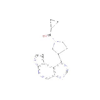 O=C(C1CC1)N1CCC(c2ncnc3cnc4[nH]ccc4c23)C1